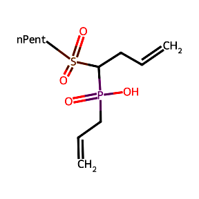 C=CCC(P(=O)(O)CC=C)S(=O)(=O)CCCCC